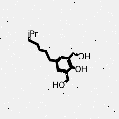 CC(C)CCCCCc1cc(CO)c(O)c(CO)c1